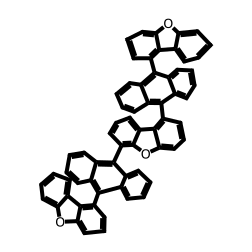 c1ccc2c(c1)oc1cccc(-c3c4ccccc4c(-c4cccc5c4oc4cccc(-c6c7ccccc7c(-c7cccc8oc9ccccc9c78)c7ccccc67)c45)c4ccccc34)c12